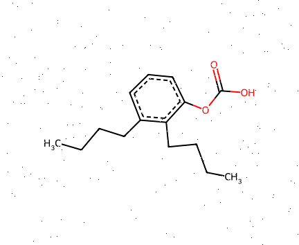 CCCCc1cccc(OC(=O)O)c1CCCC